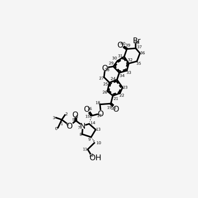 CC(C)(C)OC(=O)N1C[C@@H](CCO)C[C@H]1C(=O)OCC(=O)c1ccc2c(c1)COc1cc3c(cc1-2)CCC(Br)C3=O